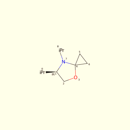 CC(C)[C@@H]1COC2(CC2)N1C(C)C